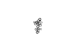 C[C@@]1(Cc2ccccc2)NC(=O)N(c2ccc(NC(=O)c3ccccn3)cc2Cl)C1=O